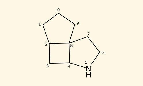 C1CC2CC3NCCC23C1